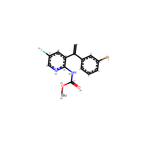 C=C(c1cccc(Br)c1)c1cc(F)cnc1NC(=O)OC(C)(C)C